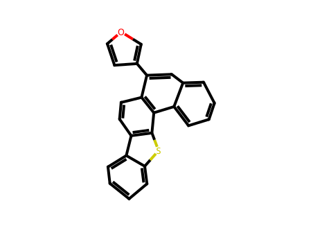 c1ccc2c(c1)cc(-c1ccoc1)c1ccc3c4ccccc4sc3c12